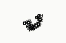 CC(C)(C)OC(=O)N(C[C@H](O)c1cccc(Cl)c1)[C@H]1CCc2ccc(-c3cccc(C(=O)O)c3)cc2C1